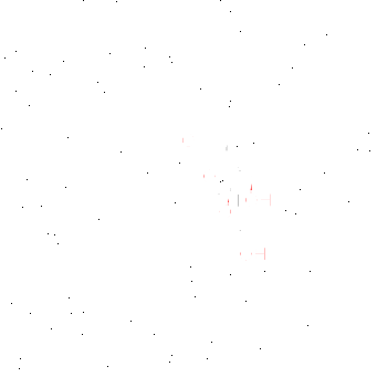 C=CCCCOC1O[C@@H]2OC(C)(O)CCC3CCCC([C@H]1C)[C@]32O